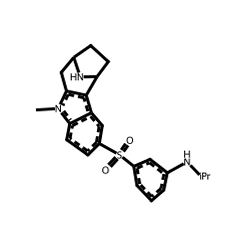 CC(C)Nc1cccc(S(=O)(=O)c2ccc3c(c2)c2c(n3C)CC3CCC2N3)c1